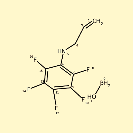 BO.C=CCNc1c(F)c(F)c(F)c(F)c1F